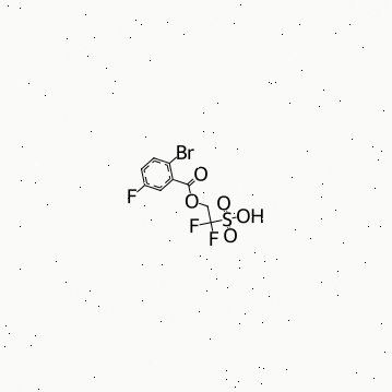 O=C(OCC(F)(F)S(=O)(=O)O)c1cc(F)ccc1Br